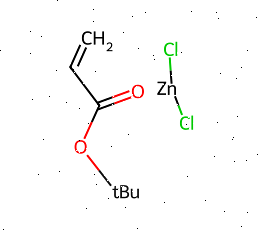 C=CC(=O)OC(C)(C)C.[Cl][Zn][Cl]